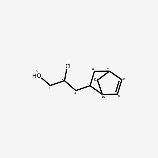 OCC(Cl)CC1CC2C=CC1C2